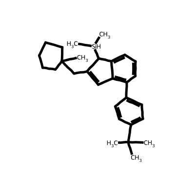 C[SiH](C)C1C(CC2(C)CCCCC2)=Cc2c(-c3ccc(C(C)(C)C)cc3)cccc21